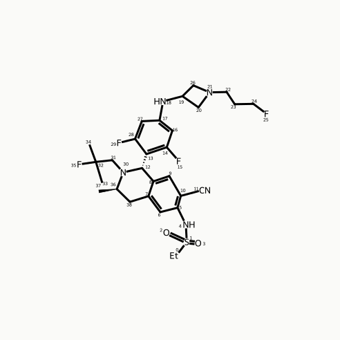 CCS(=O)(=O)Nc1cc2c(cc1C#N)[C@@H](c1c(F)cc(NC3CN(CCCF)C3)cc1F)N(CC(C)(C)F)[C@H](C)C2